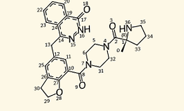 C[C@]1(C(=O)N2CCN(C(=O)c3cc(Cc4n[nH]c(=O)c5ccccc45)cc4c3OCC4)CC2)CCCN1